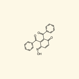 O=C1C=CC(=NO)C(C(=O)c2ccccc2)=C1C(=O)c1ccccc1